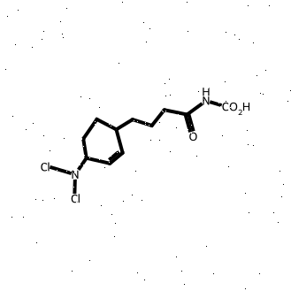 O=C(O)NC(=O)CCCC1C=CC(N(Cl)Cl)CC1